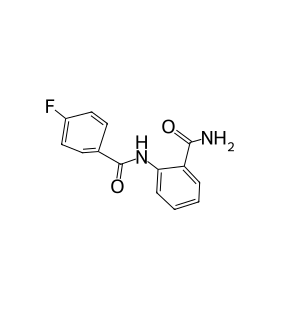 NC(=O)c1ccccc1NC(=O)c1ccc(F)cc1